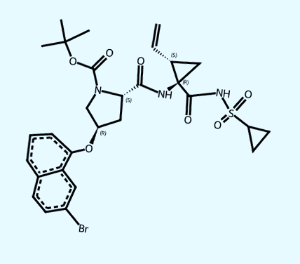 C=C[C@@H]1C[C@]1(NC(=O)[C@@H]1C[C@@H](Oc2cccc3ccc(Br)cc23)CN1C(=O)OC(C)(C)C)C(=O)NS(=O)(=O)C1CC1